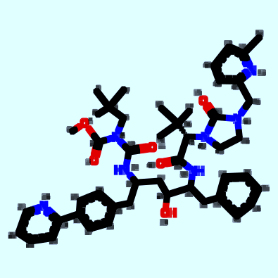 COC(=O)N(CC(C)(C)C)C(=O)NC(Cc1ccc(-c2ccccn2)cc1)CC(O)C(Cc1ccccc1)NC(=O)[C@@H](N1CCN(Cc2cccc(C)n2)C1=O)C(C)(C)C